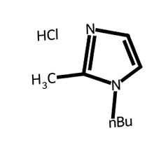 CCCCn1ccnc1C.Cl